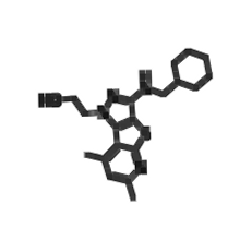 Cc1cc(C)c2c(n1)sc1c(NCC3CCCCC3)nn(CCO)c12